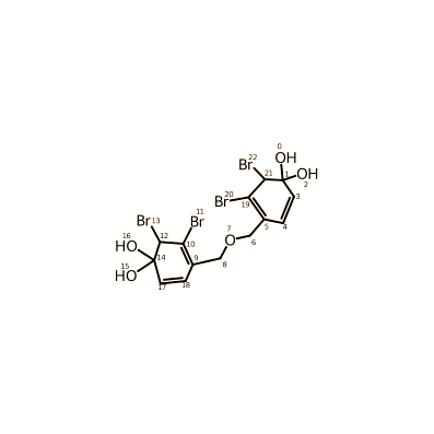 OC1(O)C=CC(COCC2=C(Br)C(Br)C(O)(O)C=C2)=C(Br)C1Br